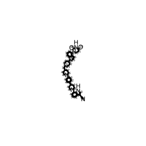 N#Cc1c[nH]c2c(N3CCC(c4ccc(N5CCC(CN6CCC(n7ccc8c(N9CCC(=O)NC9=O)cccc87)CC6)CC5)cc4)CC3)cccc12